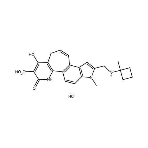 Cl.Cn1c(CNC2(C)CCC2)cc2c3c(ccc21)-c1[nH]c(=O)c(C(=O)O)c(O)c1CC=C3